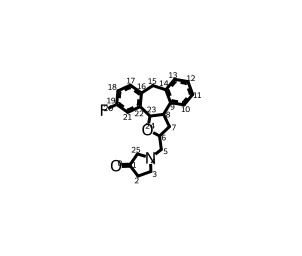 O=C1CCN(CC2CC3c4ccccc4Cc4ccc(F)cc4C3O2)C1